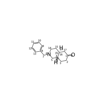 O=C1CC[C@@H]2CN(Cc3ccccc3)CC[C@H]2C1